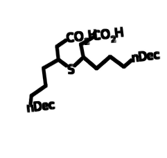 CCCCCCCCCCCCCC(CC(=O)O)SC(CCCCCCCCCCCCC)CC(=O)O